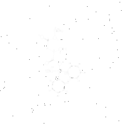 CCCCOC(=O)CC(O)C(=O)O[Si](c1ccccc1)(c1ccccc1)C(C)(C)C